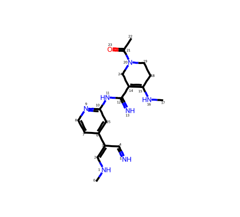 CN/C=C(\C=N)c1ccnc(NC(=N)C2=C(NC)CCN(C(C)=O)C2)c1